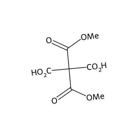 COC(=O)C(C(=O)O)(C(=O)O)C(=O)OC